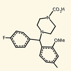 COc1cc(F)ccc1C(c1ccc(F)cc1)N1CCN(C(=O)O)CC1